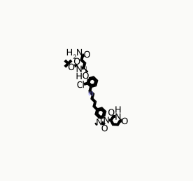 Cn1c(=O)n(C2CCC(=O)NC2=O)c2ccc(CCC/C=C/c3cccc(OC[C@H](CCC(N)=O)NC(=O)OC(C)(C)C)c3Cl)cc21